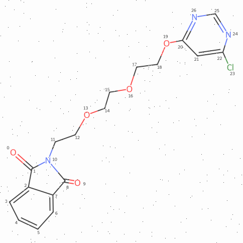 O=C1c2ccccc2C(=O)N1CCOCCOCCOc1cc(Cl)ncn1